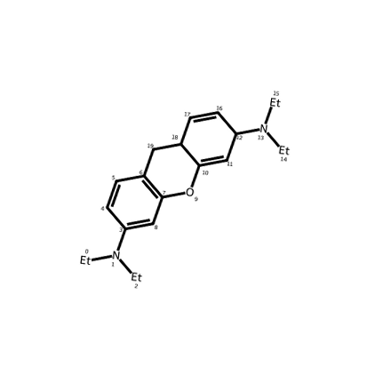 CCN(CC)c1ccc2c(c1)OC1=CC(N(CC)CC)C=CC1C2